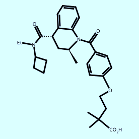 CCN(C(=O)[C@H]1C[C@H](C)N(C(=O)c2ccc(OCCC(C)(C)C(=O)O)cc2)c2ccccc21)C1CCC1